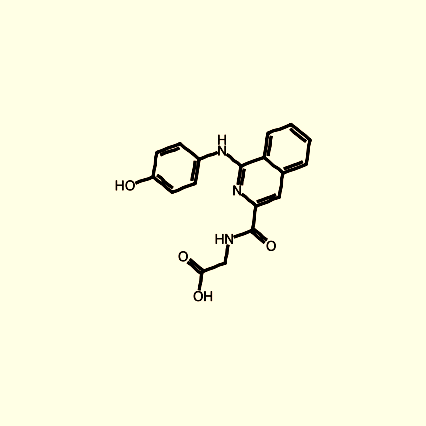 O=C(O)CNC(=O)c1cc2ccccc2c(Nc2ccc(O)cc2)n1